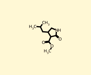 COC(=O)C1C(=O)NCC1CC(C)C